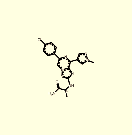 C[C@H](Nc1nc2c(-c3cnn(C)c3)nc(-c3ccc(Cl)cc3)cn2n1)C(N)=O